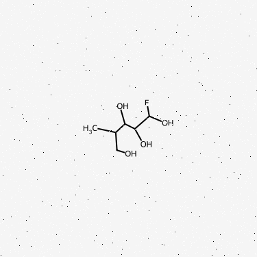 CC(CO)C(O)C(O)C(O)F